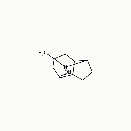 CC12CC=C3CCC(C3C1)N2O